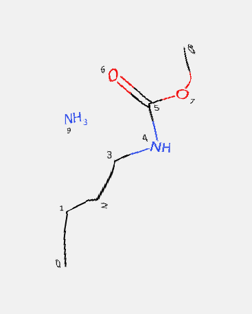 CCCCNC(=O)OC.N